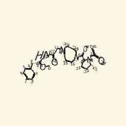 CO[C@H](Cc1ccccc1)NC(=O)CN1CCN(C(=O)[C@@H]2CCCN2C(C)=O)CC1